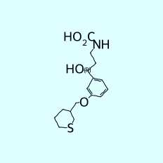 O=C(O)NCC[C@@H](O)c1cccc(OCC2CCCSC2)c1